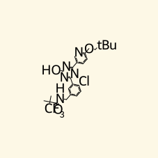 CC(C)(C)COc1ccc(-c2nc(O)nc(-c3cc(CNC(=O)C(C)(C)C(F)(F)F)ccc3Cl)n2)cn1